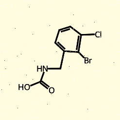 O=C(O)NCc1cccc(Cl)c1Br